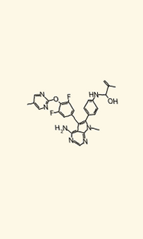 C=C(C)C(O)Nc1ccc(-c2c(-c3cc(F)c(Oc4ncc(C)cn4)c(F)c3)c3c(N)ncnc3n2C)cc1